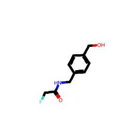 O=C(CF)NCc1ccc(CO)cc1